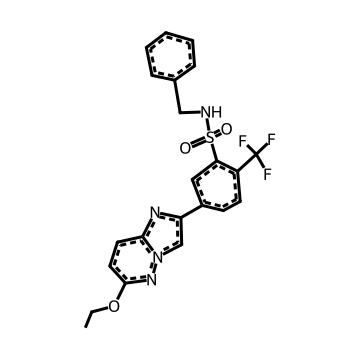 CCOc1ccc2nc(-c3ccc(C(F)(F)F)c(S(=O)(=O)NCc4ccccc4)c3)cn2n1